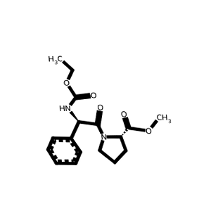 CCOC(=O)N[C@@H](C(=O)N1CCC[C@H]1C(=O)OC)c1ccccc1